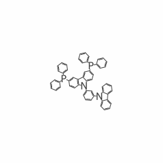 c1ccc(P(c2ccccc2)c2ccc3c(c2)c2cc(P(c4ccccc4)c4ccccc4)ccc2n3-c2cccc(-n3c4ccccc4c4ccccc43)c2)cc1